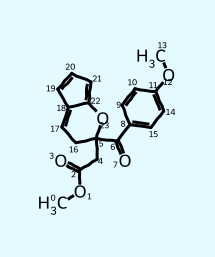 COC(=O)CC1(C(=O)c2ccc(OC)cc2)CC=C2C=CC=C2O1